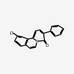 O=c1c(-c2ccccc2)ccc2c3cc(Cl)ccc3ccn12